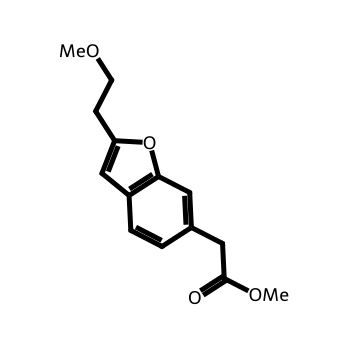 COCCc1cc2ccc(CC(=O)OC)cc2o1